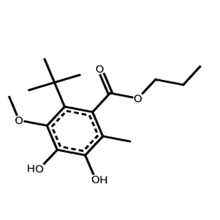 CCCOC(=O)c1c(C)c(O)c(O)c(OC)c1C(C)(C)C